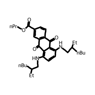 CCCCC(CC)CNc1ccc(NCC(CC)CCCC)c2c1C(=O)c1ccc(C(=O)OCCC)cc1C2=O